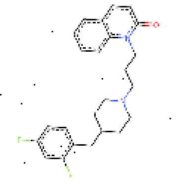 O=c1ccc2ccccc2n1CCCN1CCC(Cc2ccc(F)cc2F)CC1